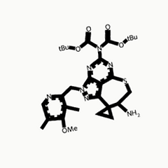 COc1c(C)cnc(Cn2nc3c4c(nc(N(C(=O)OC(C)(C)C)C(=O)OC(C)(C)C)nc42)SCC(N)C32CC2)c1C